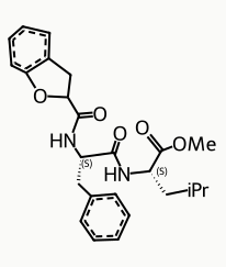 COC(=O)[C@H](CC(C)C)NC(=O)[C@H](Cc1ccccc1)NC(=O)C1Cc2ccccc2O1